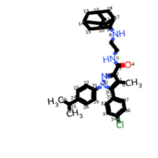 Cc1c(C(=O)NCCNC2C3CC4CC(C3)CC2C4)nn(-c2ccc(C(C)C)cc2)c1-c1ccc(Cl)cc1